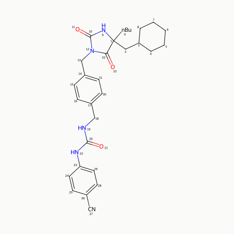 CCCCC1(CC2CCCCC2)NC(=O)N(Cc2ccc(CNC(=O)Nc3ccc(C#N)cc3)cc2)C1=O